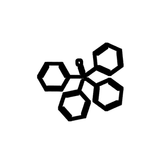 O=S(c1ccccc1)(c1ccccc1)(c1ccccc1)c1ccccc1